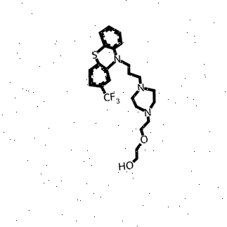 OCCOCCN1CCN(CCCN2c3ccccc3Sc3ccc(C(F)(F)F)cc32)CC1